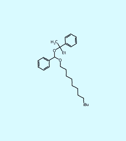 CCC(C)CCCCCCCCOC(OC(C)(CC)c1ccccc1)c1ccccc1